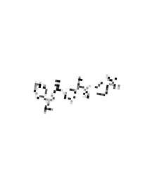 CC(C)(C)n1cc(C(=O)c2cncc(NC(=O)Cc3cccc(S(C)(=O)=O)c3)c2)c2cncnc21